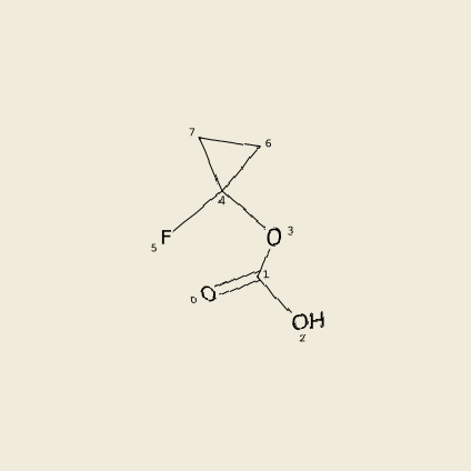 O=C(O)OC1(F)CC1